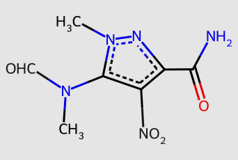 CN(C=O)c1c([N+](=O)[O-])c(C(N)=O)nn1C